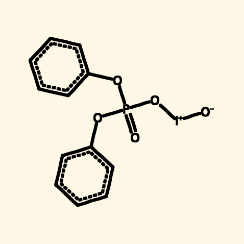 O=P(O[I+][O-])(Oc1ccccc1)Oc1ccccc1